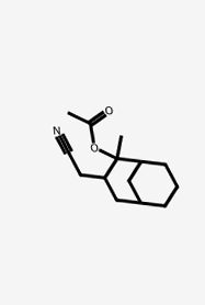 CC(=O)OC1(C)C(CC#N)CC2CCCC1C2